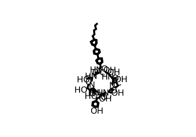 CCCCCCc1ccc(-c2ccc(-c3ccc(C(=O)N[C@H]4C[C@@H](O)[C@@H](O)NC(=O)[C@@H]5[C@@H](O)[C@@H](C)CN5C(=O)[C@H]([C@@H](C)O)NC(=O)[C@H]([C@H](O)[C@@H](O)c5ccc(O)cc5)NC(=O)[C@@H]5C[C@@H](O)CN5C(=O)[C@H]([C@@H](C)O)NC4=O)cc3)cc2)cc1